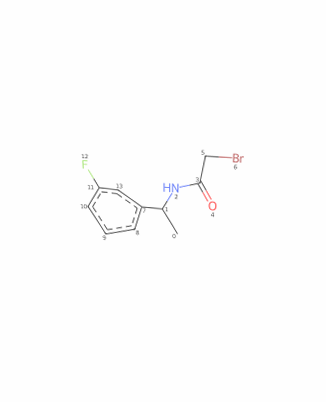 CC(NC(=O)CBr)c1cccc(F)c1